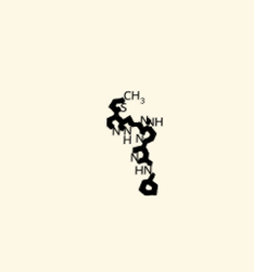 Cc1ccc(-c2ccnc3[nH]c(-c4n[nH]c5ccc(-c6cncc(CNCc7ccccc7)c6)nc45)cc23)s1